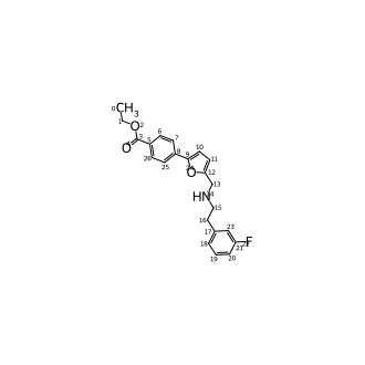 CCOC(=O)c1ccc(-c2ccc(CNCCc3cccc(F)c3)o2)cc1